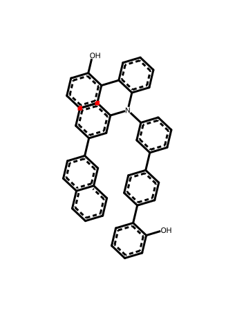 Oc1ccccc1-c1ccc(-c2cccc(N(c3cccc(-c4ccc5ccccc5c4)c3)c3ccccc3-c3ccccc3O)c2)cc1